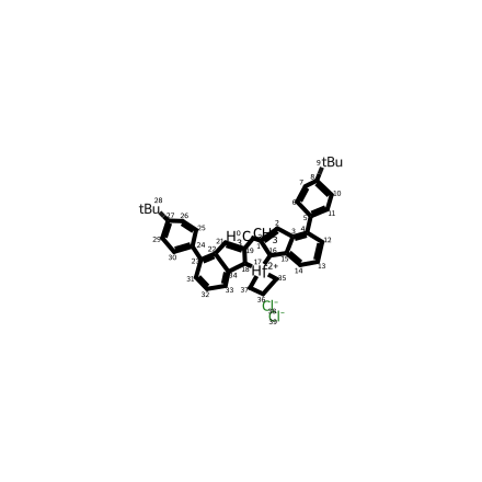 CC1=Cc2c(-c3ccc(C(C)(C)C)cc3)cccc2[CH]1[Hf+2]1([CH]2C(C)=Cc3c(-c4ccc(C(C)(C)C)cc4)cccc32)[CH2]C[CH2]1.[Cl-].[Cl-]